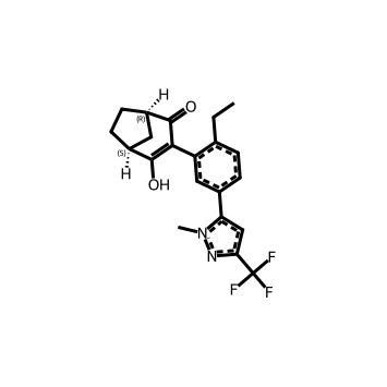 CCc1ccc(-c2cc(C(F)(F)F)nn2C)cc1C1=C(O)[C@H]2CC[C@H](C2)C1=O